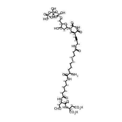 NC(CCCSSCCC(=O)NCC#Cc1cn(C2CC(O)C(COP(=O)(O)OP(=O)(O)OP(=O)(O)O)O2)c(=O)[nH]c1=O)C(=O)NCCCCCC(=O)NC(CC=O)C(=O)NC(CC(=O)O)C(=O)O